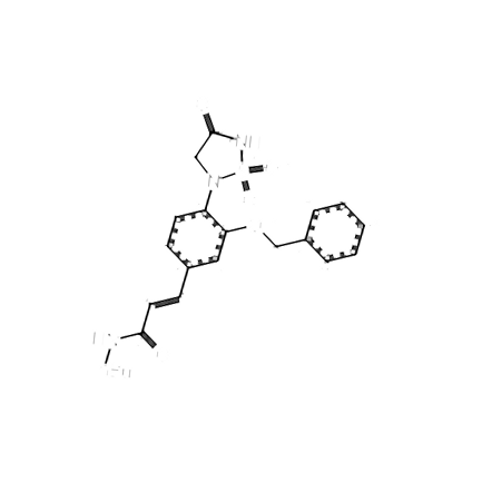 CCCCNC(=O)C=Cc1ccc(N2CC(=O)NS2(=O)=O)c(OCc2ccccc2)c1